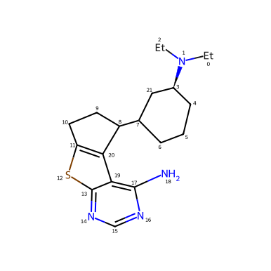 CCN(CC)[C@H]1CCCC(C2CCc3sc4ncnc(N)c4c32)C1